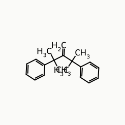 C=C(C(C)(C)c1ccccc1)C(C)(C)c1ccccc1